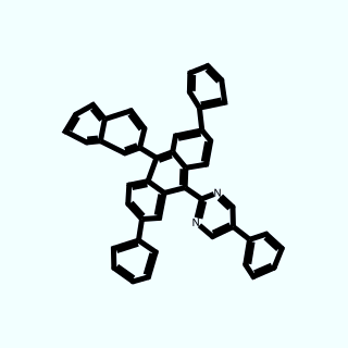 c1ccc(-c2cnc(-c3c4ccc(-c5ccccc5)cc4c(-c4ccc5ccccc5c4)c4ccc(-c5ccccc5)cc34)nc2)cc1